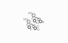 O=C(O)CC1Oc2ccc(F)cc2N(Cc2nc3c(Cl)c(Cl)ccc3s2)C1=O.O=C(O)CC1Oc2ccc(F)cc2N(Cc2nc3cc(F)cc(F)c3s2)C1=O